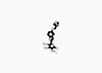 Cc1c(-c2cc3cc(OCc4cocn4)ccc3o2)oc(=O)c(C)c1O